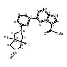 CC(C)(C)C(=O)c1c[nH]c2ncc(-c3cccc(N4C[C@@H]5C[S+]([O-])C[C@@H]5C4)c3)nc12